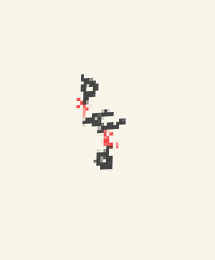 CCCCC(C)(CCC(C)(CCCC)OOC(=O)c1cccc(C)c1)OOC(=O)c1cccc(C)c1